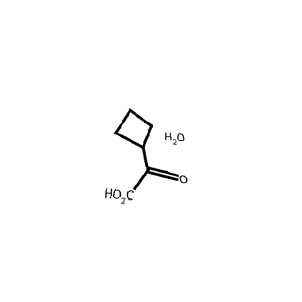 O.O=C(O)C(=O)C1CCC1